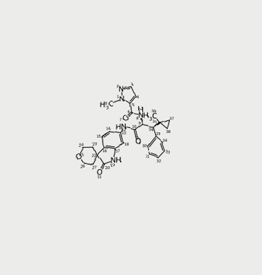 Cn1nccc1C(=O)N[C@H](C(=O)Nc1ccc2c(c1)NC(=O)C21CCOCC1)[C@H](c1ccccc1)C1(C)CC1